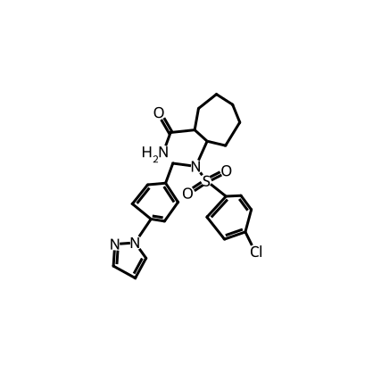 NC(=O)C1CCCCCC1N(Cc1ccc(-n2cccn2)cc1)S(=O)(=O)c1ccc(Cl)cc1